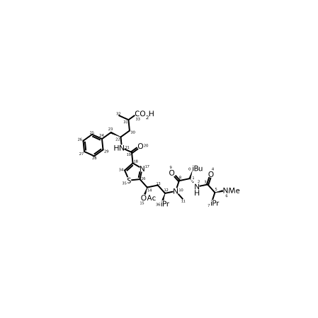 CC[C@H](C)[C@H](NC(=O)[C@@H](NC)C(C)C)C(=O)N(C)[C@H](C[C@@H](OC(C)=O)c1nc(C(=O)N[C@@H](Cc2ccccc2)CC(C)C(=O)O)cs1)C(C)C